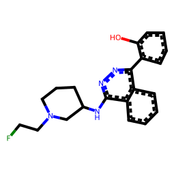 Oc1ccccc1-c1nnc(NC2CCCN(CCF)C2)c2ccccc12